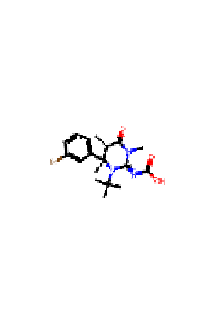 C[C@H]1C(=O)N(C)C(=NC(=O)O)N(C(C)(C)C)[C@]1(C)c1cccc(Br)c1